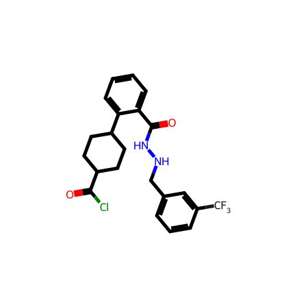 O=C(NNCc1cccc(C(F)(F)F)c1)c1ccccc1C1CCC(C(=O)Cl)CC1